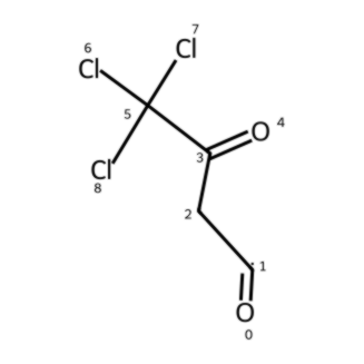 O=[C]CC(=O)C(Cl)(Cl)Cl